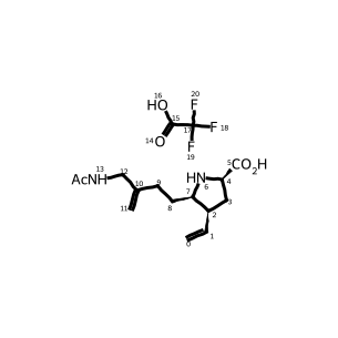 C=C[C@@H]1C[C@H](C(=O)O)N[C@@H]1CCC(=C)CNC(C)=O.O=C(O)C(F)(F)F